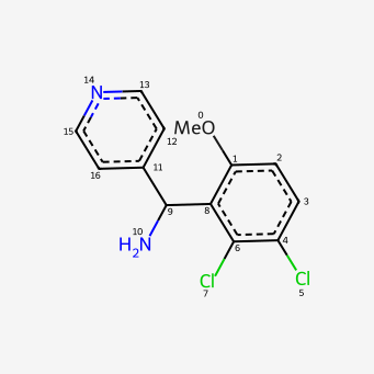 COc1ccc(Cl)c(Cl)c1C(N)c1ccncc1